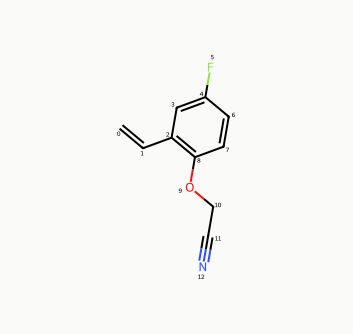 C=Cc1cc(F)ccc1OCC#N